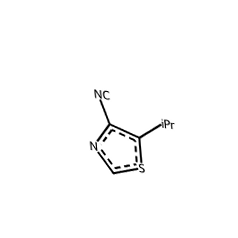 [C-]#[N+]c1ncsc1C(C)C